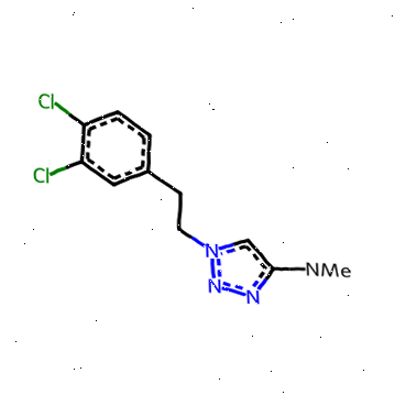 CNc1cn(CCc2ccc(Cl)c(Cl)c2)nn1